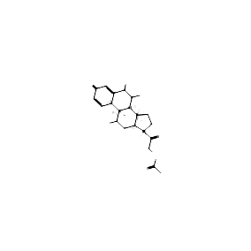 CC(=O)OCC(=O)[C@@]1(O)CC[C@H]2[C@@H]3C(Cl)C(F)C4=CC(=O)C=C[C@]4(C)[C@@]3(F)C(O)C[C@@]21C